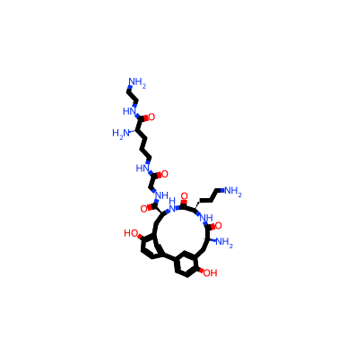 NCCC[C@@H]1NC(=O)[C@@H](N)Cc2cc(ccc2O)-c2ccc(O)c(c2)C[C@@H](C(=O)NCC(=O)NCCC[C@H](N)C(=O)NCCN)NC1=O